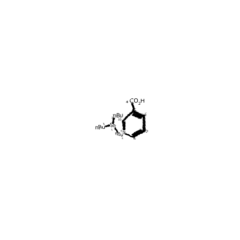 CCC[CH2][Sn]([CH2]CCC)[CH2]CCC.O=C(O)c1cccnc1